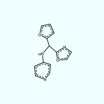 c1coc(C(Nc2ccncc2)c2ncco2)c1